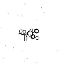 CC(=O)CC(=O)NC1=Nc2ccc(Cl)cc2C(C2=CCCC=C2)=NC=C1